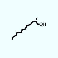 CCCCCCCCCC[C@@H](C)CO